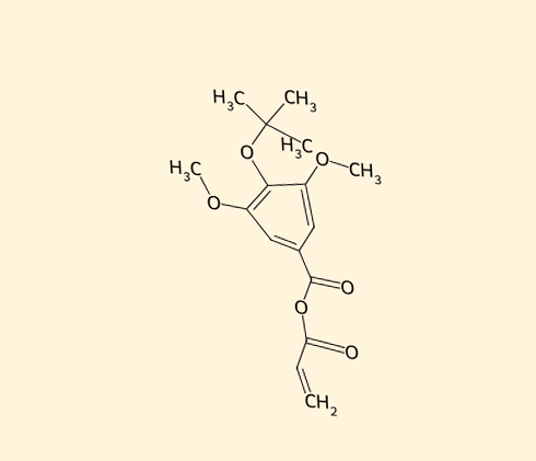 C=CC(=O)OC(=O)c1cc(OC)c(OC(C)(C)C)c(OC)c1